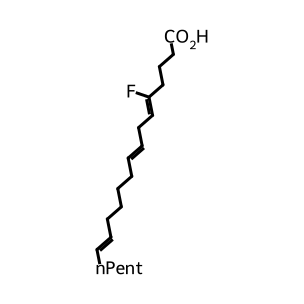 CCCCC/C=C/CCCC/C=C/C/C=C(\F)CCCC(=O)O